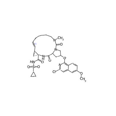 COc1ccc2c(OC3CC4C(=O)NC5(C(=O)NS(=O)(=O)C6CC6)CC5/C=C/CCCCN(C)C(=O)N4C3)nc(Cl)cc2c1